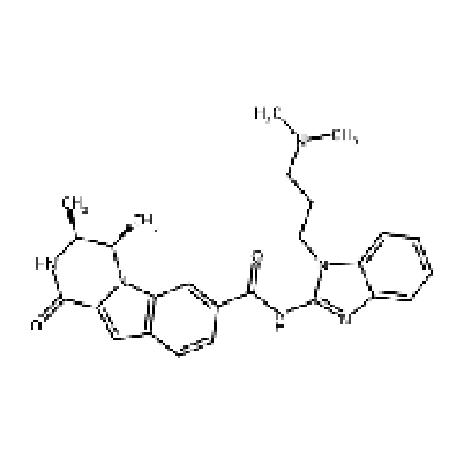 C[C@@H]1NC(=O)c2cc3ccc(C(=O)Nc4nc5ccccc5n4CCCN(C)C)cc3n2[C@@H]1C